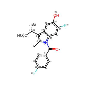 CCC(C)[C@@H](C(=O)O)c1c(C)n(C(=O)c2ccc(F)cc2)c2cc(F)c(O)cc12